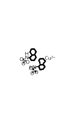 O=S(=O)([O-])Nc1cccc2ccccc12.O=S(=O)([O-])Nc1cccc2ccccc12.[Cu+2]